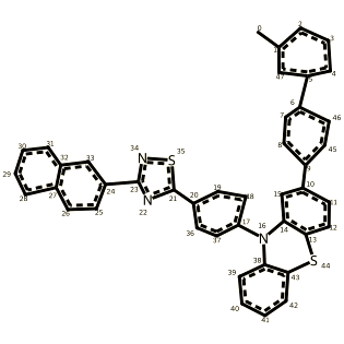 Cc1cccc(-c2ccc(-c3ccc4c(c3)N(c3ccc(-c5nc(-c6ccc7ccccc7c6)ns5)cc3)c3ccccc3S4)cc2)c1